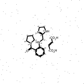 O=C(O)/C=C/C(=O)O.O=C(c1ccccc1NCC1=NCCN1)N1CCCC1